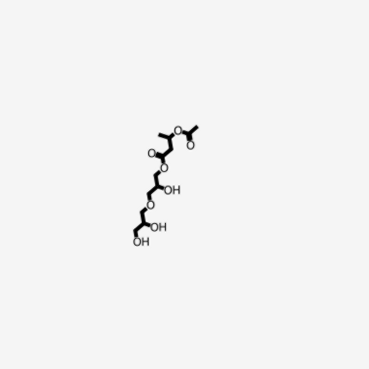 CC(=O)OC(C)CC(=O)OCC(O)COCC(O)CO